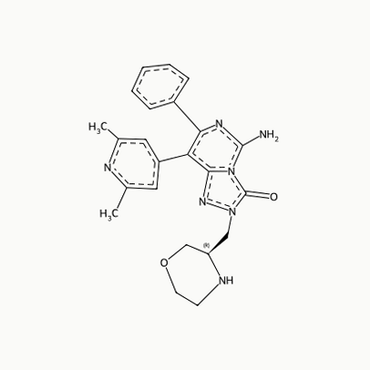 Cc1cc(-c2c(-c3ccccc3)nc(N)n3c(=O)n(C[C@@H]4COCCN4)nc23)cc(C)n1